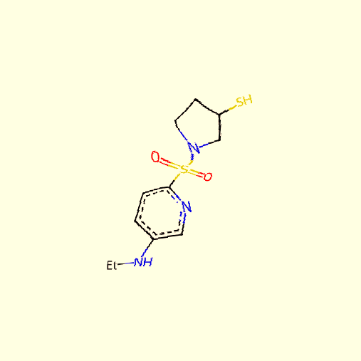 CCNc1ccc(S(=O)(=O)N2CCC(S)C2)nc1